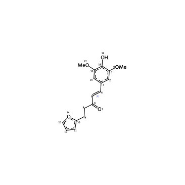 COc1cc(/C=C/C(=O)CCc2ccco2)cc(OC)c1O